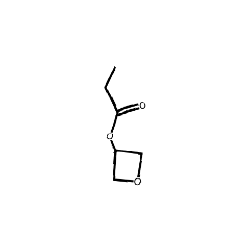 CCC(=O)OC1COC1